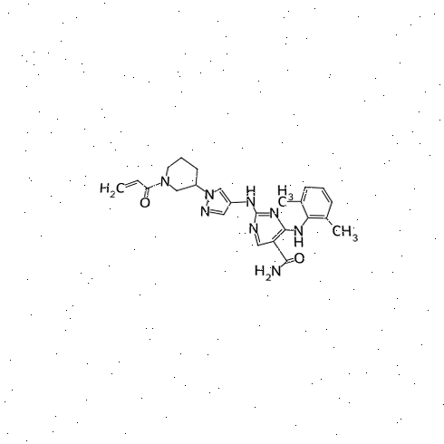 C=CC(=O)N1CCCC(n2cc(Nc3ncc(C(N)=O)c(Nc4c(C)cccc4C)n3)cn2)C1